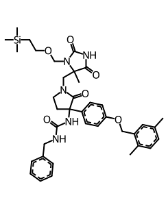 Cc1ccc(C)c(COc2ccc(C3(NC(=O)NCc4ccccc4)CCN(CC4(C)C(=O)NC(=O)N4COCC[Si](C)(C)C)C3=O)cc2)c1